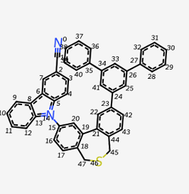 N#Cc1ccc2c(c1)c1ccccc1n2-c1ccc2c(c1)-c1cc(-c3cc(-c4ccccc4)cc(-c4ccccc4)c3)ccc1CSC2